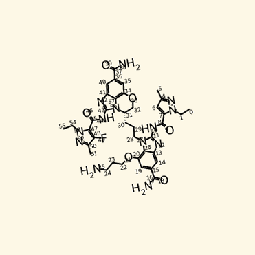 CCn1nc(C)cc1C(=O)Nc1nc2cc(C(N)=O)cc(OCCCN)c2n1CCC[C@H]1COc2cc(C(N)=O)cc3nc(NC(=O)c4c(F)c(C)nn4CC)n1c23